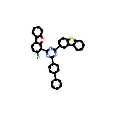 Clc1ccc2c(oc3ccccc32)c1-c1nc(-c2ccc(-c3ccccc3)cc2)nc(-c2ccc3sc4ccccc4c3c2)n1